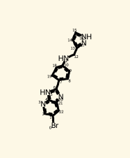 Brc1cnc2[nH]c(-c3ccc(NCc4cc[nH]n4)cc3)nc2c1